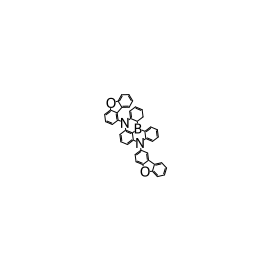 C1=CCC2B3c4ccccc4N(c4ccc5oc6ccccc6c5c4)c4cccc(c43)N(c3cccc4oc5ccccc5c34)C2=C1